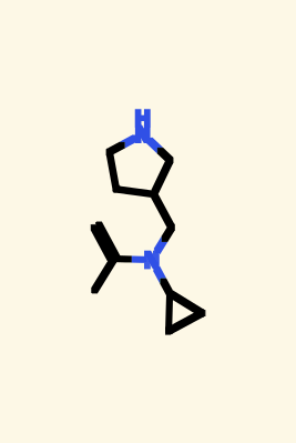 C=C(C)N(CC1CCNC1)C1CC1